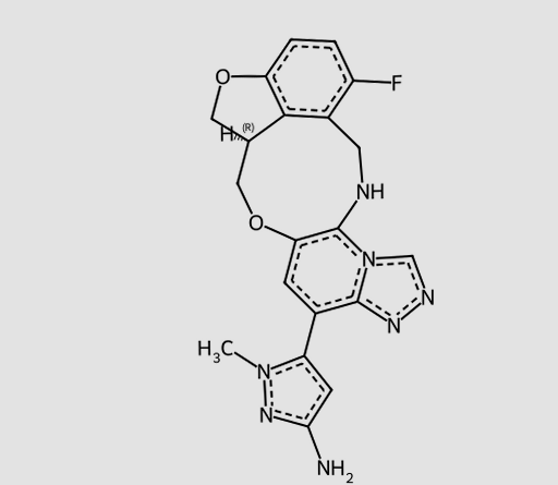 Cn1nc(N)cc1-c1cc2c(n3cnnc13)NCc1c(F)ccc3c1[C@H](CO3)CO2